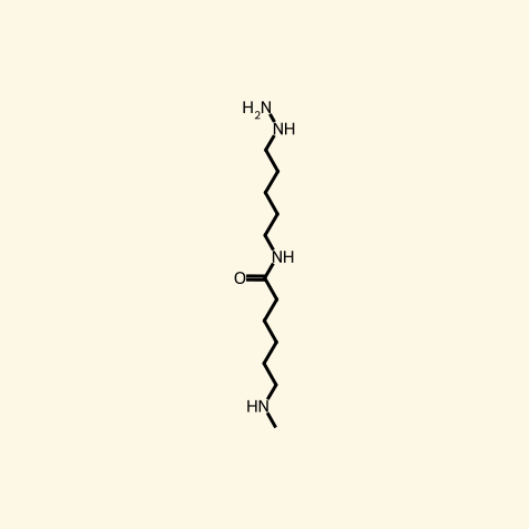 CNCCCCCC(=O)NCCCCCNN